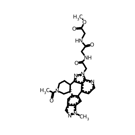 COC(=O)CNC(=O)CNC(=O)Cn1nc(C2CCN(C(C)=O)CC2)c2c(-c3cc4c(cnn4C)cc3F)ccnc21